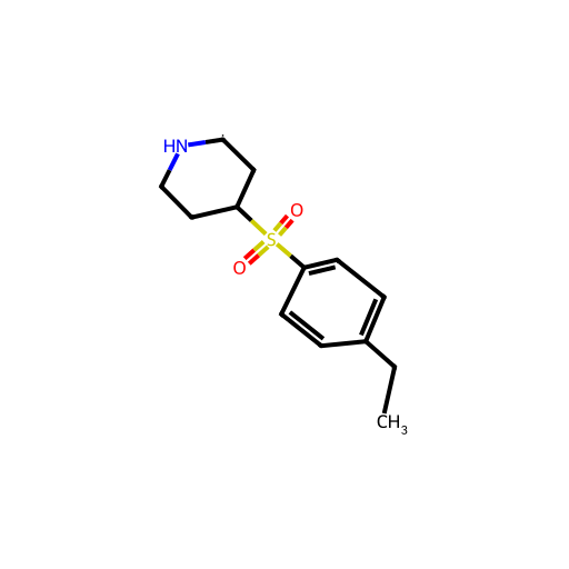 CCc1ccc(S(=O)(=O)C2C[CH]NCC2)cc1